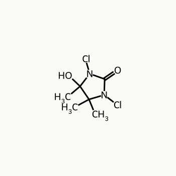 CC1(C)N(Cl)C(=O)N(Cl)C1(C)O